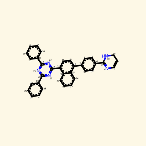 C1=CN=C(c2ccc(-c3ccc(-c4nc(-c5ccccc5)nc(-c5ccccc5)n4)c4ccccc34)cc2)NC1